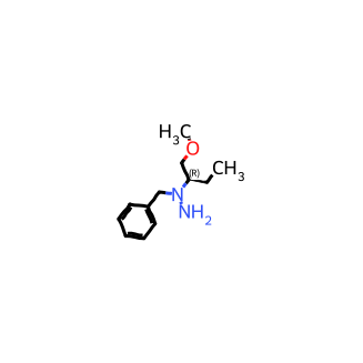 CC[C@H](COC)N(N)Cc1ccccc1